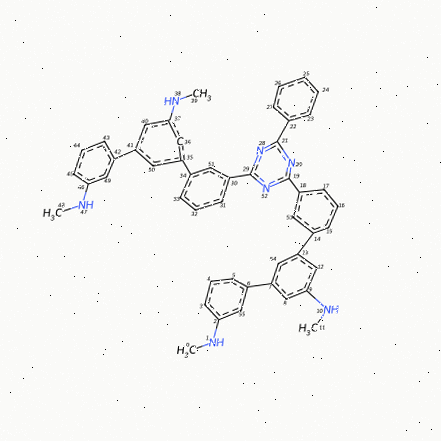 CNc1cccc(-c2cc(NC)cc(-c3cccc(-c4nc(-c5ccccc5)nc(-c5cccc(-c6cc(NC)cc(-c7cccc(NC)c7)c6)c5)n4)c3)c2)c1